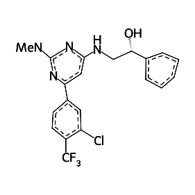 CNc1nc(NC[C@H](O)c2ccccc2)cc(-c2ccc(C(F)(F)F)c(Cl)c2)n1